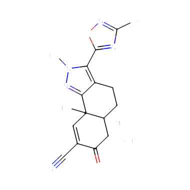 Cc1noc(-c2c3c(nn2C)C2(C)C=C(C#N)C(=O)[C@@H](C)[C@@H]2CC3)n1